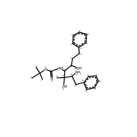 CC(C)(C)OC(=O)NC(C(O)CCc1ccccc1)C(C)(O)[C](N)Cc1ccccc1